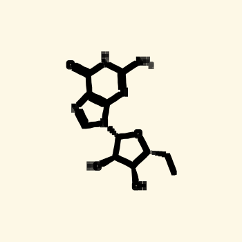 CC[C@H]1O[C@@H](n2cnc3c(=O)[nH]c(N)nc32)[C@H](O)[C@@H]1O